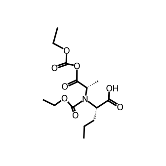 CCC[C@@H](C(=O)O)N(C(=O)OCC)[C@@H](C)C(=O)OC(=O)OCC